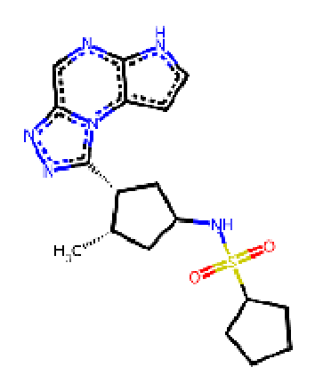 C[C@H]1CC(NS(=O)(=O)C2CCCC2)C[C@H]1c1nnc2cnc3[nH]ccc3n12